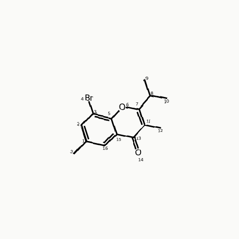 Cc1cc(Br)c2oc(C(C)C)c(C)c(=O)c2c1